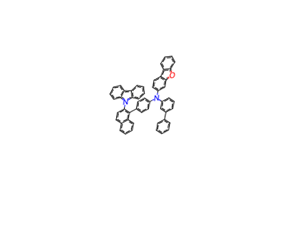 c1ccc(-c2cccc(N(c3ccc(-c4c(-n5c6ccccc6c6ccccc65)ccc5ccccc45)cc3)c3ccc4c(c3)oc3ccccc34)c2)cc1